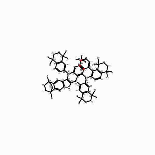 CC(C)(C)c1cc2c3c(c1)N(c1ccc4c(c1)C(C)(C)CCC4(C)C)c1c(oc4cc5c(cc14)C1(C)CCC5(C)CC1)B3c1cc3c(cc1N2c1ccc2c(c1-c1ccccc1)C(C)(C)CCC2(C)C)C(C)(C)CCC3(C)C